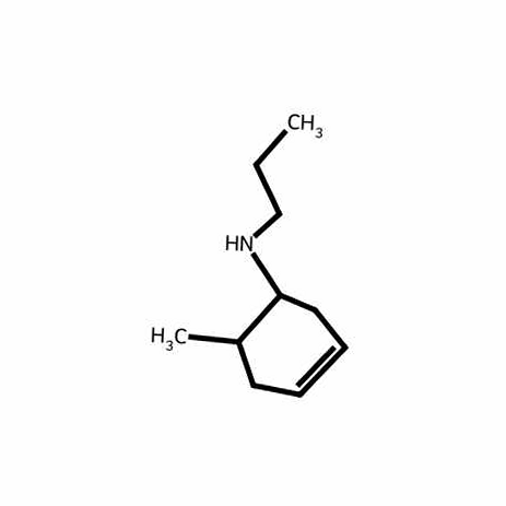 CCCNC1CC=CCC1C